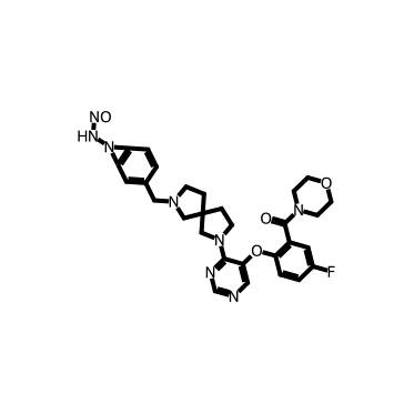 O=NNN1c2ccc(CN3CCC4(CCN(c5ncncc5Oc5ccc(F)cc5C(=O)N5CCOCC5)C4)C3)cc21